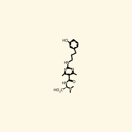 Cc1nc(NCCCc2cccc(O)c2)nc(C)c1C(=O)N[C@H](C(=O)O)N(C)C